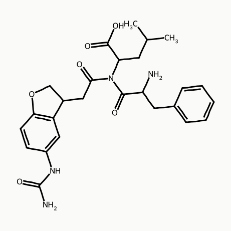 CC(C)CC(C(=O)O)N(C(=O)CC1COc2ccc(NC(N)=O)cc21)C(=O)C(N)Cc1ccccc1